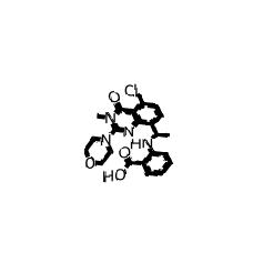 CC(Nc1ccccc1C(=O)O)c1ccc(Cl)c2c(=O)n(C)c(N3CCOCC3)nc12